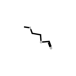 CSCCOC=O